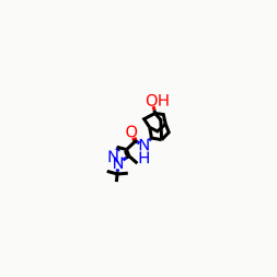 Cc1c(C(=O)NC2C3CC4CC2CC(O)(C4)C3)cnn1C(C)(C)C